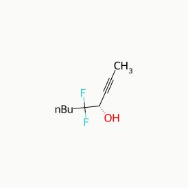 CC#C[C@H](O)C(F)(F)CCCC